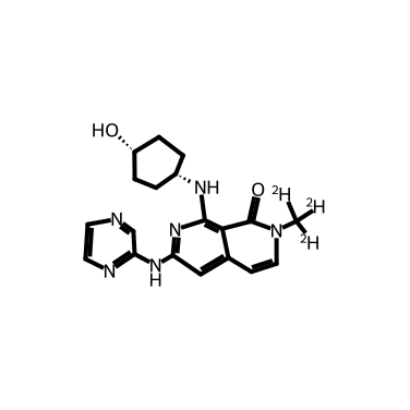 [2H]C([2H])([2H])n1ccc2cc(Nc3cnccn3)nc(N[C@H]3CC[C@@H](O)CC3)c2c1=O